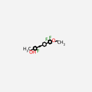 C=CCOc1ccc(C2CCC(C#Cc3ccc(C(C)O)cc3F)CC2)c(F)c1F